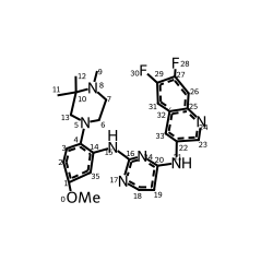 COc1ccc(N2CCN(C)C(C)(C)C2)c(Nc2nccc(Nc3cnc4cc(F)c(F)cc4c3)n2)c1